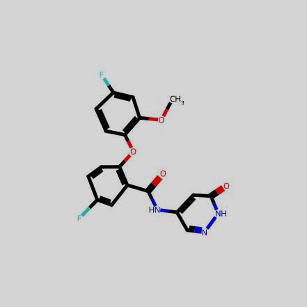 COc1cc(F)ccc1Oc1ccc(F)cc1C(=O)Nc1cn[nH]c(=O)c1